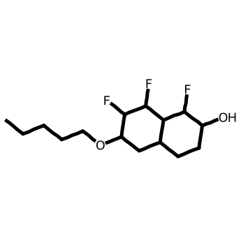 CCCCCOC1CC2CCC(O)C(F)C2C(F)C1F